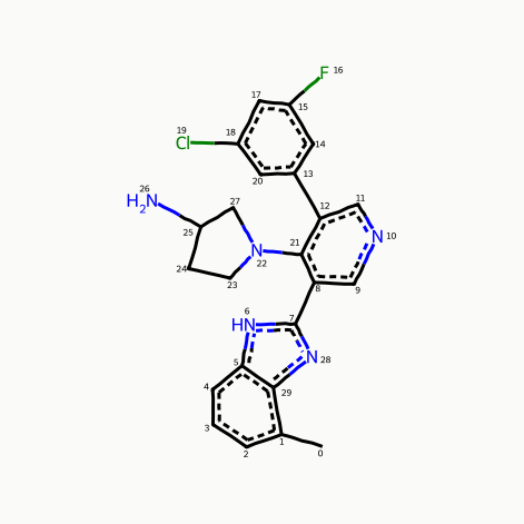 Cc1cccc2[nH]c(-c3cncc(-c4cc(F)cc(Cl)c4)c3N3CCC(N)C3)nc12